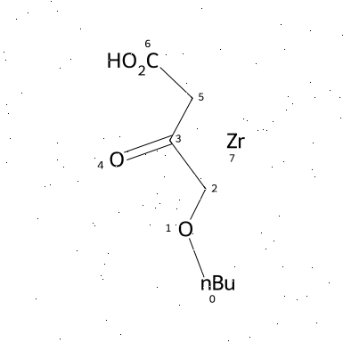 CCCCOCC(=O)CC(=O)O.[Zr]